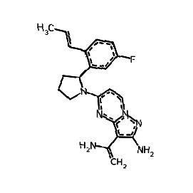 C=C(N)c1c(N)nn2ccc(N3CCCC3c3cc(F)ccc3/C=C/C)nc12